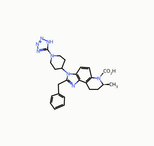 C[C@H]1CCc2c(ccc3c2nc(Cc2ccccc2)n3C2CCN(c3nnn[nH]3)CC2)N1C(=O)O